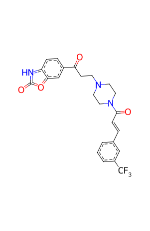 O=C(CCN1CCN(C(=O)/C=C/c2cccc(C(F)(F)F)c2)CC1)c1ccc2[nH]c(=O)oc2c1